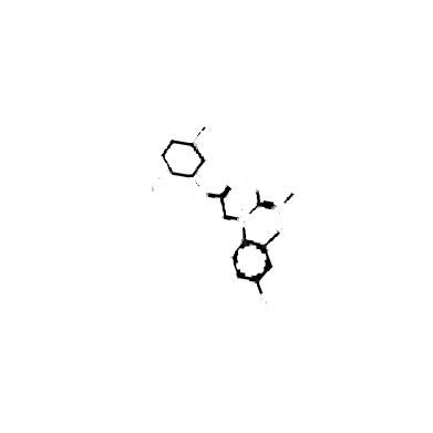 CC/C(=N\C)N(CC(=O)O[C@@H]1C[C@H](C)CC[C@H]1C(C)C)c1ccc([N+](=O)[O-])cc1C